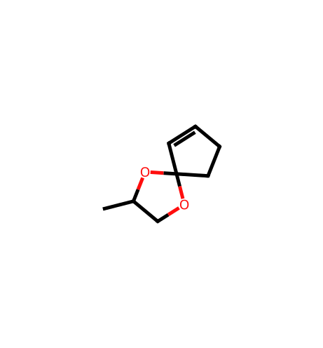 CC1COC2(C=CCC2)O1